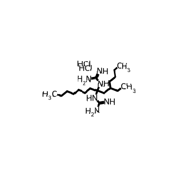 CCCCCCCC(CC(CC)CCCC)(NC(=N)N)NC(=N)N.Cl.Cl